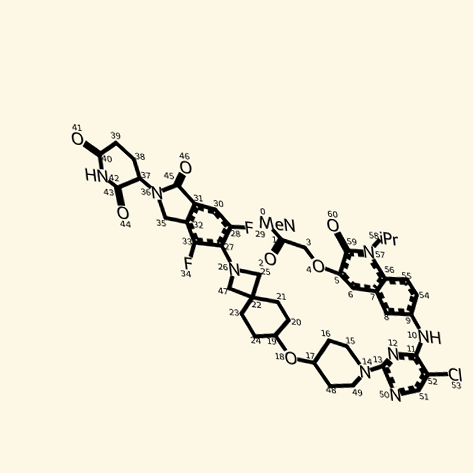 CNC(=O)COc1cc2cc(Nc3nc(N4CCC(OC5CCC6(CC5)CN(c5c(F)cc7c(c5F)CN(C5CCC(=O)NC5=O)C7=O)C6)CC4)ncc3Cl)ccc2n(C(C)C)c1=O